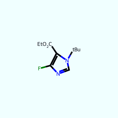 CCOC(=O)c1c(F)ncn1C(C)(C)C